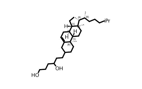 CC(C)CCC[C@@H](C)[C@H]1CC[C@H]2[C@@H]3CC=C4CC(CCC(O)CCCO)CC[C@]4(C)[C@H]3CC[C@]12C